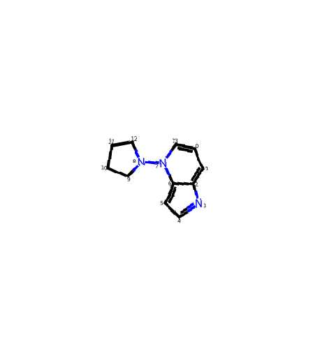 c1cc2nccc-2n(N2CCCC2)c1